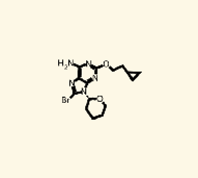 Nc1nc(OCCC2CC2)nc2c1nc(Br)n2[C@H]1CCCCO1